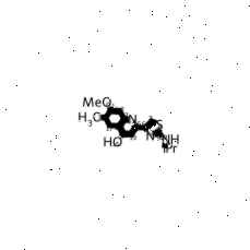 COC1=Cc2nc(-c3csc(NC(C)C)n3)cc(O)c2CC1C